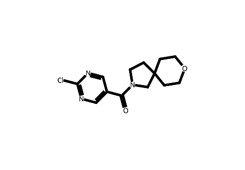 O=C(c1cnc(Cl)nc1)N1CCC2(CCOCC2)C1